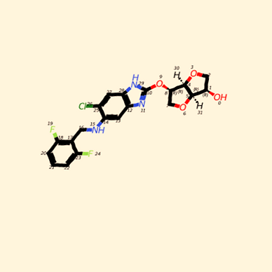 O[C@@H]1CO[C@H]2[C@@H]1OC[C@H]2Oc1nc2cc(NCc3c(F)cccc3F)c(Cl)cc2[nH]1